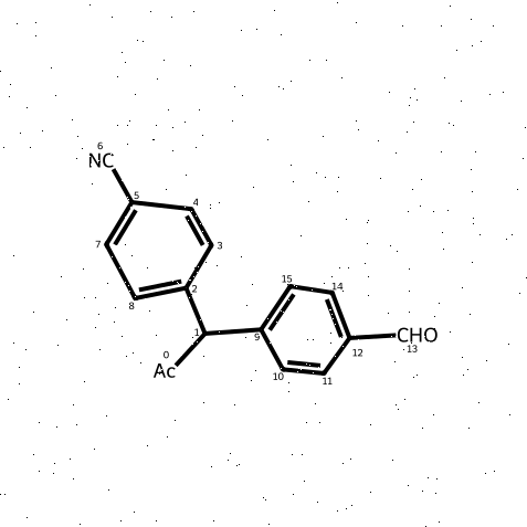 CC(=O)C(c1ccc(C#N)cc1)c1ccc(C=O)cc1